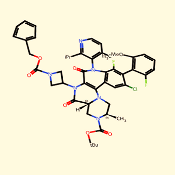 COc1cccc(F)c1-c1c(Cl)cc2c3c(c(=O)n(-c4c(C)ccnc4C(C)C)c2c1F)N(C1CN(C(=O)OCc2ccccc2)C1)C(=O)[C@H]1CN(C(=O)OC(C)(C)C)[C@H](C)CN31